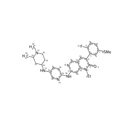 CCn1c(=O)c(-c2cc(SC)ccc2F)cc2cnc(Nc3ccc(NC4CCN(C)C(C)C4)cn3)cc21